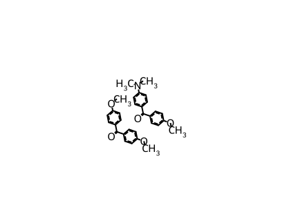 COc1ccc(C(=O)c2ccc(N(C)C)cc2)cc1.COc1ccc(C(=O)c2ccc(OC)cc2)cc1